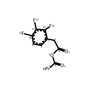 CCCC(=O)OC(=O)Cc1ccc(F)c(F)c1F